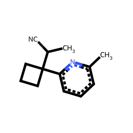 Cc1cccc(C2(C(C)C#N)CCC2)n1